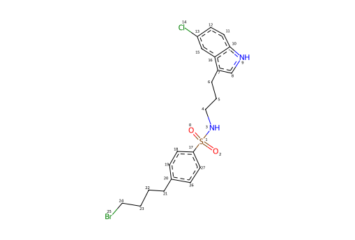 O=S(=O)(NCCCc1c[nH]c2ccc(Cl)cc12)c1ccc(CCCCBr)cc1